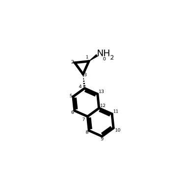 N[C@@H]1C[C@H]1c1ccc2ccccc2c1